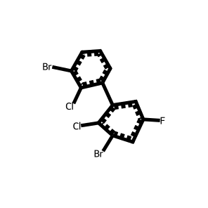 Fc1cc(Br)c(Cl)c(-c2cccc(Br)c2Cl)c1